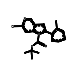 Cc1ccccc1-c1cc2cnc(Cl)cc2n1C(=O)OC(C)(C)C